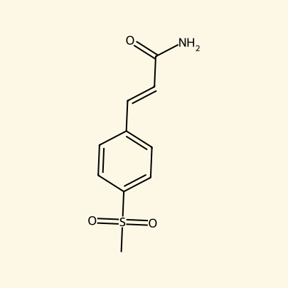 CS(=O)(=O)c1ccc(C=CC(N)=O)cc1